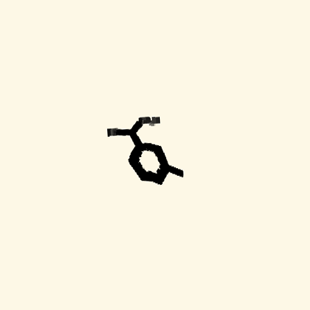 Cc1cccc(C(S)C(=O)O)c1